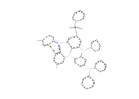 CC(C)(C)c1ccc2c(c1)c1cc(C(C)(C)C)cc3c1n2-c1cc(C(C)(C)c2ccccc2)cc2c1B3c1ccc(N(c3ccccc3)c3ccccc3)cc1N2c1ccccc1